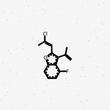 C=C(C)c1c(/C=C(\C)Cl)oc2cccc(F)c12